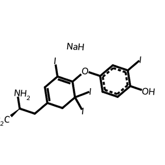 N[C@@H](CC1=CC(I)=C(Oc2ccc(O)c(I)c2)C(I)(I)C1)C(=O)O.[NaH]